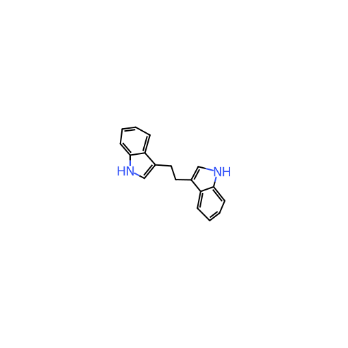 c1ccc2c(CCc3c[nH]c4ccccc34)c[nH]c2c1